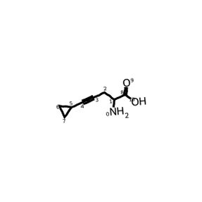 NC(CC#CC1CC1)C(=O)O